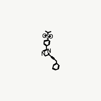 CC(C)S(=O)(=O)c1ccc(-c2cncc(C#CCc3ccccc3)n2)cc1